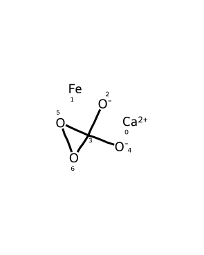 [Ca+2].[Fe].[O-]C1([O-])OO1